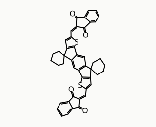 O=C1C(=Cc2cc3c(s2)-c2cc4c(cc2C32CCCCC2)-c2sc(C=C3C(=O)c5ccccc5C3=O)cc2C42CCCCC2)C(=O)c2ccccc21